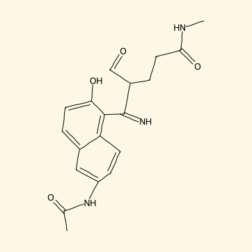 CNC(=O)CCC(C=O)C(=N)c1c(O)ccc2cc(NC(C)=O)ccc12